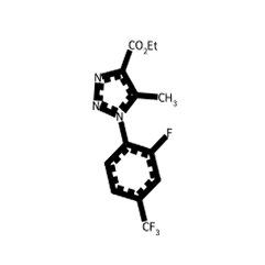 CCOC(=O)c1nnn(-c2ccc(C(F)(F)F)cc2F)c1C